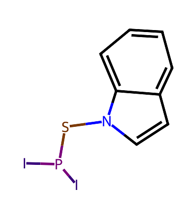 IP(I)Sn1ccc2ccccc21